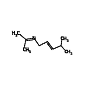 CC(C)=NCC=CC(C)C